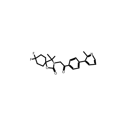 Cc1ncccc1-c1ccc(C(=O)CN2C(=O)OC3(CCC(F)(F)CC3)C2(C)C)cc1